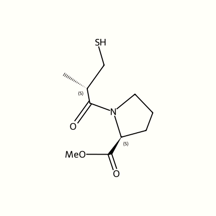 COC(=O)[C@@H]1CCCN1C(=O)[C@H](C)CS